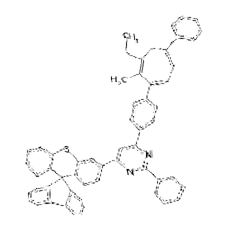 CCC1=C(C)C(c2ccc(-c3cc(-c4ccc5c(c4)Sc4ccccc4C54c5ccccc5-c5ccccc54)nc(-c4ccccc4)n3)cc2)=CC=C(c2ccccc2)C1